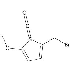 COC1=CC=C(CBr)S1=C=O